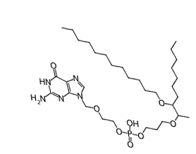 CCCCCCCCCCCCOC(CCCCCCC)C(C)OCCCOP(=O)(O)OCCOCn1cnc2c(=O)[nH]c(N)nc21